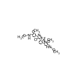 COCCNCc1ccc(-c2nccc(-c3cccc(-c4ccc(CNCCOC)c(OC)n4)c3C(F)(F)F)c2Cl)cc1OC